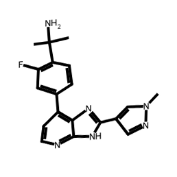 Cn1cc(-c2nc3c(-c4ccc(C(C)(C)N)c(F)c4)ccnc3[nH]2)cn1